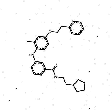 Cc1cc(OCCc2ccccn2)ccc1Nc1cccc(C(=O)NCCC2CCCC2)c1